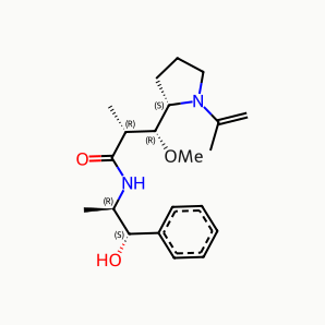 C=C(C)N1CCC[C@H]1[C@H](OC)[C@@H](C)C(=O)N[C@H](C)[C@@H](O)c1ccccc1